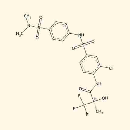 CN(C)S(=O)(=O)c1ccc(NS(=O)(=O)c2ccc(NC(=O)[C@@](C)(O)C(F)(F)F)c(Cl)c2)cc1